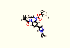 CC(C)OC(=O)N1C[C@H](C)N(C(=O)C2CC2)c2ccc(-c3cnn(C4CC4)c3)cc21